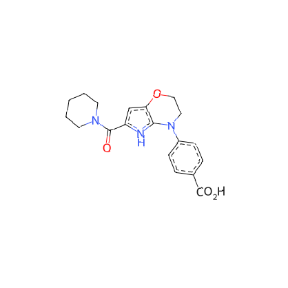 O=C(O)c1ccc(N2CCOc3cc(C(=O)N4CCCCC4)[nH]c32)cc1